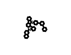 c1ccc(-c2cccc(-c3ccc(-n4c5ccccc5c5ccc6c(c7ccccc7n6-c6ccc7ccccc7c6)c54)cc3)c2)cc1